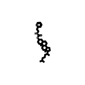 CC(C)CCCC(C)C1CCC2C3CC=C4CC(OC(=O)NCCc5ccccn5)CCC4(C)C3CCC12C